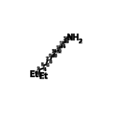 CCC(CC)CCCCCCCCCCCCCCCN